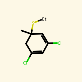 CCSC1(C)C=C(Cl)C=C(Cl)C1